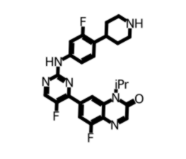 CC(C)n1c(=O)cnc2c(F)cc(-c3nc(Nc4ccc(C5CCNCC5)c(F)c4)ncc3F)cc21